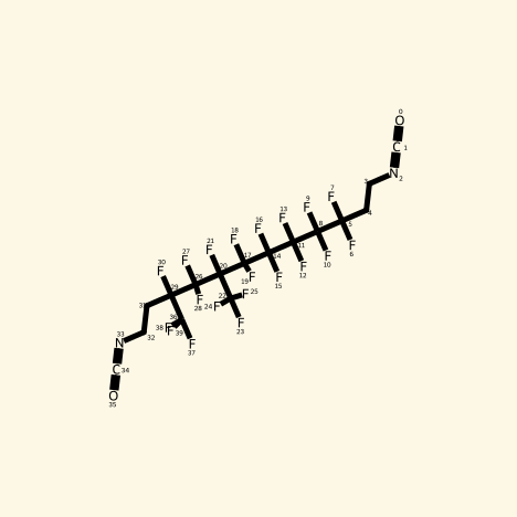 O=C=NCCC(F)(F)C(F)(F)C(F)(F)C(F)(F)C(F)(F)C(F)(C(F)(F)F)C(F)(F)C(F)(CCN=C=O)C(F)(F)F